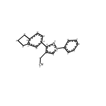 N#CCc1cn(-c2ccccc2)nc1-c1ccc2c(c1)CCC2